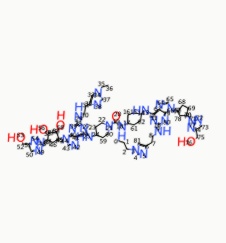 CCCn1cnc(CCNc2nc(N[C@H]3CC[C@H](NC(=O)N4CCC(Nc5nc(NCCc6cn(CC)cn6)nc6c5ncn6[C@@H]5C[C@H](n6ncc(CO)n6)[C@@H](O)[C@H]5O)CC4)CC3)c3ncn([C@H]4CC[C@@H](n5ncc(CO)n5)C4)c3n2)c1